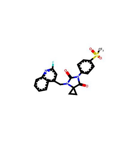 O=C1N(c2ccc(S(=O)(=O)C(F)(F)F)cc2)C(=O)C2(CC2)N1Cc1cc(F)nc2ccccc12